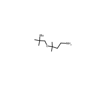 CC(C)(CCN)OCC(C)(C)C(C)(C)C